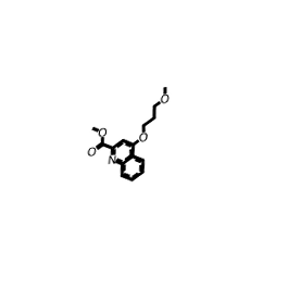 COCCCOc1cc(C(=O)OC)nc2ccccc12